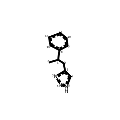 CC(Cc1c[nH]nn1)c1ccccc1